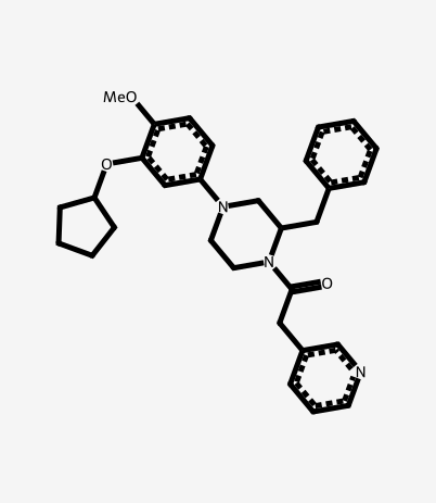 COc1ccc(N2CCN(C(=O)Cc3cccnc3)C(Cc3ccccc3)C2)cc1OC1CCCC1